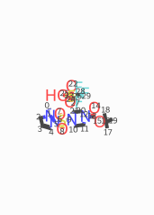 CN1CC=CN1S(=O)(=O)N1CCN(C(=O)OC(C)(C)C)CC1.O=S(=O)(O)C(F)(F)F